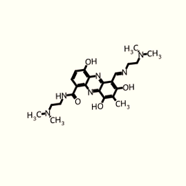 Cc1c(O)c(C=NCCN(C)C)c2nc3c(O)ccc(C(=O)NCCN(C)C)c3nc2c1O